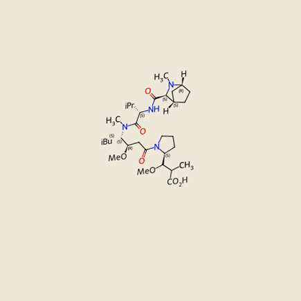 CC[C@H](C)[C@@H]([C@@H](CC(=O)N1CCC[C@H]1C(OC)C(C)C(=O)O)OC)N(C)C(=O)[C@@H](NC(=O)[C@@H]1[C@H]2CC[C@H](C2)N1C)C(C)C